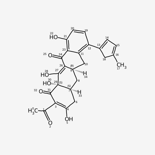 CC(=O)C1=C(O)C[C@@H]2C[C@@H]3Cc4c(C5=CC=C(C)C5)ccc(O)c4C(=O)C3=C(O)[C@]2(O)C1=O